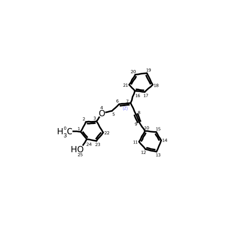 Cc1cc(OC/C=C(\C#Cc2ccccc2)c2ccccc2)ccc1O